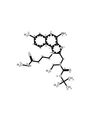 CCN(Cc1nc2c(N)nc3cc(C)ccc3c2n1CCCC(=O)NC)C(=O)OC(C)(C)C